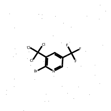 FC(F)(F)c1cnc(Br)c(C(Cl)(Cl)Cl)c1